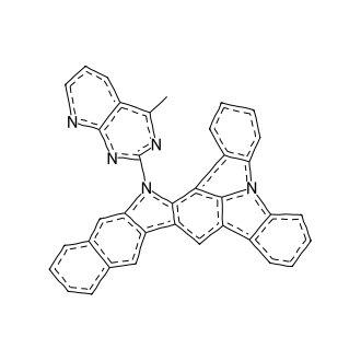 Cc1nc(-n2c3cc4ccccc4cc3c3cc4c5ccccc5n5c6ccccc6c(c32)c45)nc2ncccc12